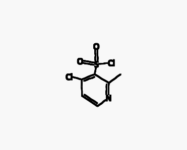 Cc1nccc(Cl)c1S(=O)(=O)Cl